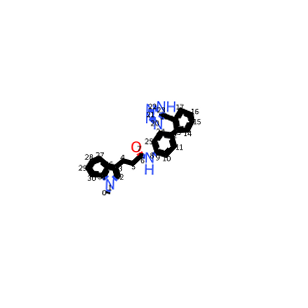 Cn1cc(CCC(=O)Nc2ccc(-c3ccccc3-c3nnn[nH]3)cc2)c2ccccc21